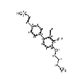 O=C(O)C=Cc1ccc(-c2ccc(OCCCC(F)(F)F)c(F)c2F)cc1